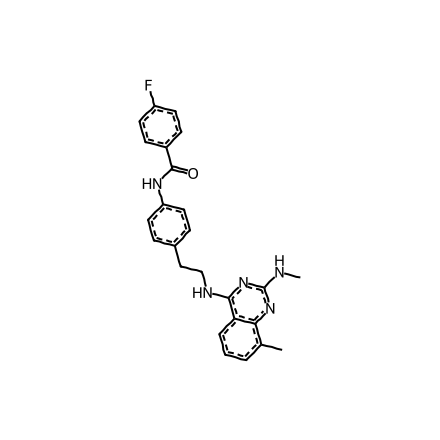 CNc1nc(NCCc2ccc(NC(=O)c3ccc(F)cc3)cc2)c2cccc(C)c2n1